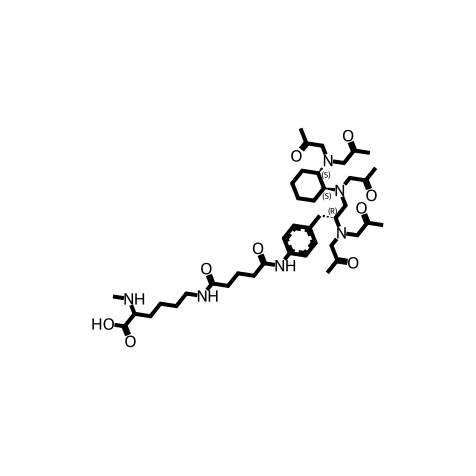 CNC(CCCCNC(=O)CCCC(=O)Nc1ccc(C[C@H](CN(CC(C)=O)[C@H]2CCCC[C@@H]2N(CC(C)=O)CC(C)=O)N(CC(C)=O)CC(C)=O)cc1)C(=O)O